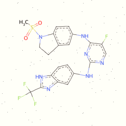 CS(=O)(=O)N1CCc2cc(Nc3nc(Nc4ccc5[nH]c(C(F)(F)F)nc5c4)ncc3F)ccc21